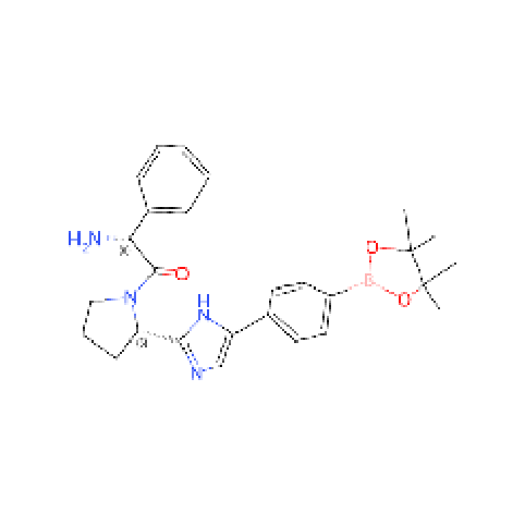 CC1(C)OB(c2ccc(-c3cnc([C@@H]4CCCN4C(=O)[C@H](N)c4ccccc4)[nH]3)cc2)OC1(C)C